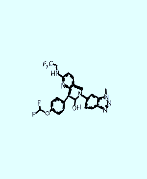 Cn1nnc2ccc(N3C=c4ccc(NCC(F)(F)F)nc4=C(c4ccc(OC(F)F)cc4)C3O)cc21